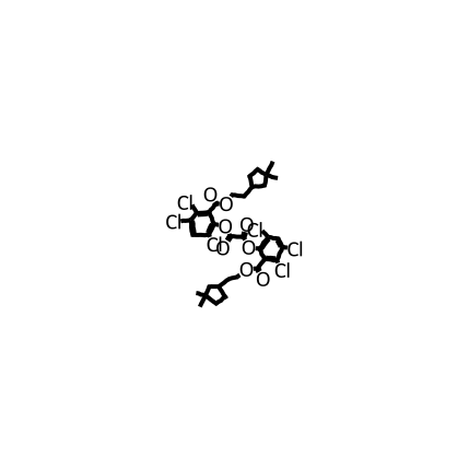 CC1(C)CCC(CCOC(=O)c2c(Cl)c(Cl)cc(Cl)c2OC(=O)C(=O)Oc2c(Cl)cc(Cl)c(Cl)c2C(=O)OCCC2CCC(C)(C)C2)C1